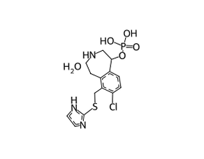 O.O=P(O)(O)OC1CNCCc2c1ccc(Cl)c2CSc1ncc[nH]1